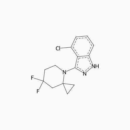 FC1(F)CCN(c2n[nH]c3cccc(Cl)c23)C2(CC2)C1